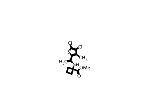 C=C(NC1(C(=O)OC)CCC1)c1sc(Cl)c(Cl)c1C